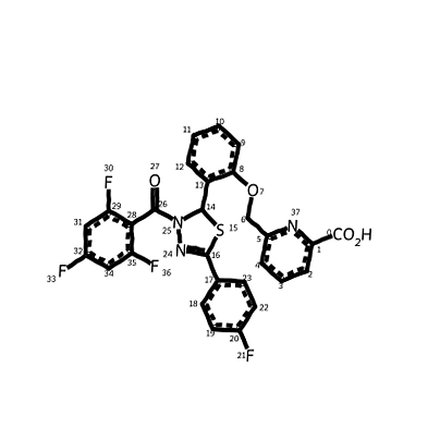 O=C(O)c1cccc(COc2ccccc2C2SC(c3ccc(F)cc3)=NN2C(=O)c2c(F)cc(F)cc2F)n1